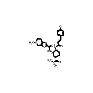 CN1CCc2nc(C(=O)N[C@@H]3C[C@@H](C(=O)N(C)C)CC[C@@H]3NC(=O)/C=C/c3ccc(Cl)cc3)sc2C1